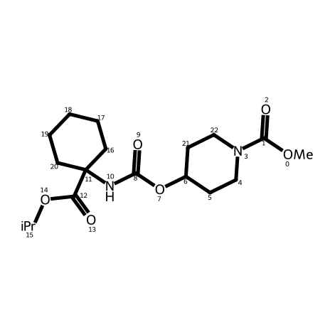 COC(=O)N1CCC(OC(=O)NC2(C(=O)OC(C)C)CCCCC2)CC1